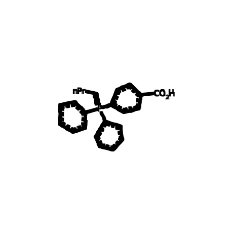 CCCC=P(c1ccccc1)(c1ccccc1)c1ccc(C(=O)O)cc1